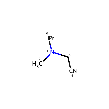 CC(C)N(C)CC#N